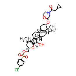 C[C@@H]1C[C@H](COS(=O)(=O)c2ccc(Cl)cc2)O[C@H]2[C@H]1[C@@]1(C)CC[C@@]34C[C@@]35CCC(O[C@H]3CN(C(=O)CC6CC6)CCO3)C(C)(C)[C@@H]5CC[C@H]4[C@]1(C)[C@H]2O